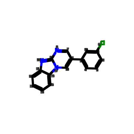 Clc1cccc(-c2cnc3nc4ccccc4n3c2)c1